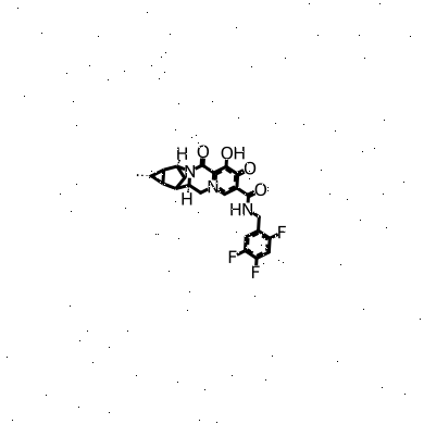 C[C@H]1C2C3C[C@@H](C21)N1C(=O)c2c(O)c(=O)c(C(=O)NCc4cc(F)c(F)cc4F)cn2C[C@@H]31